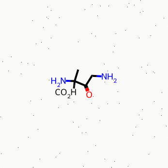 CC(N)(C(=O)O)C(=O)CN